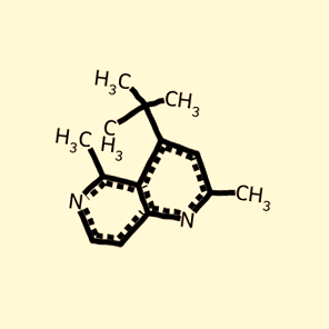 Cc1cc(C(C)(C)C)c2c(C)nccc2n1